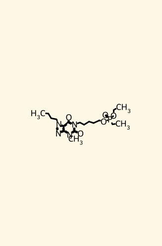 CCCCn1cnc2c1c(=O)n(CCCCCOP(=O)(CC)OCC)c(=O)n2C